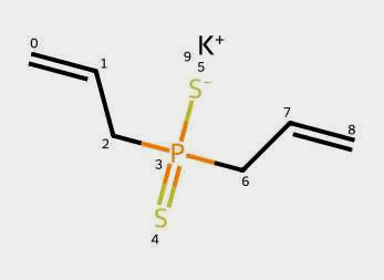 C=CCP(=S)([S-])CC=C.[K+]